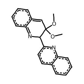 COC1(OC)C=c2ccccc2=NC1c1ccc2ccccc2n1